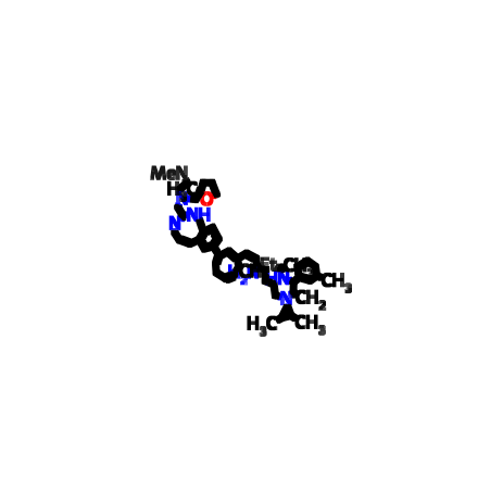 C=C(CC)NC(C(=C)N(CCCCC(N)\C=C/C1=C/C(c2ccc3c(c2)/C=C\C/N=C(/CN(CCNC)CC2(C)CCCO2)NC3)=C\CC#CC1C)C1C(C)C1C)C1=CC(C)CC=C1